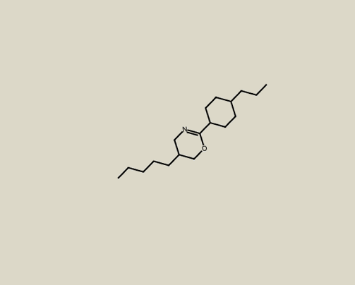 CCCCCC1CN=C(C2CCC(CCC)CC2)OC1